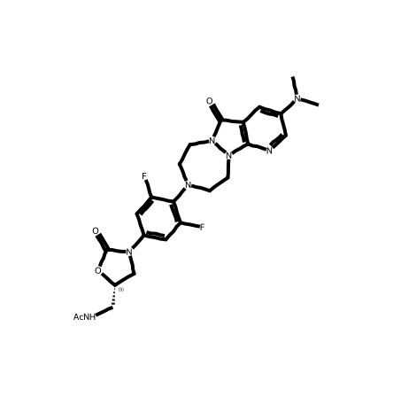 CC(=O)NC[C@H]1CN(c2cc(F)c(N3CCn4c(=O)c5cc(N(C)C)cnc5n4CC3)c(F)c2)C(=O)O1